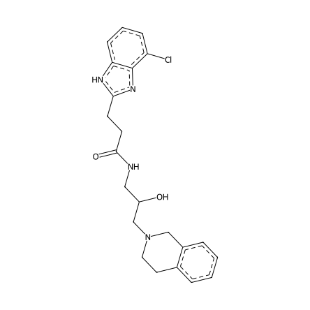 O=C(CCc1nc2c(Cl)cccc2[nH]1)NCC(O)CN1CCc2ccccc2C1